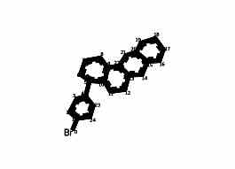 Brc1ccc(-c2cccc3c2ccc2cc4ccccc4cc23)cc1